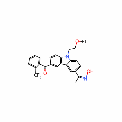 CCOCCn1c2ccc(C(=O)c3ccccc3C(F)(F)F)cc2c2cc(/C(C)=N\O)ccc21